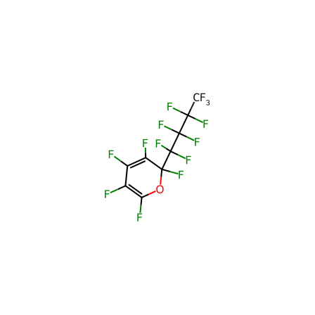 FC1=C(F)C(F)=C(F)C(F)(C(F)(F)C(F)(F)C(F)(F)C(F)(F)F)O1